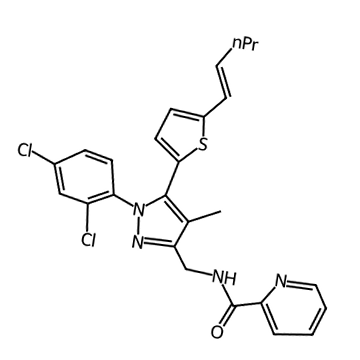 CCC/C=C/c1ccc(-c2c(C)c(CNC(=O)c3ccccn3)nn2-c2ccc(Cl)cc2Cl)s1